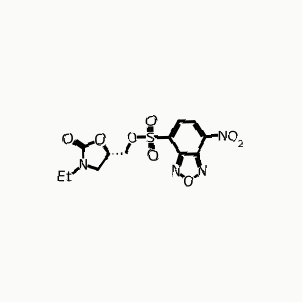 CCN1C[C@@H](COS(=O)(=O)c2ccc([N+](=O)[O-])c3nonc23)OC1=O